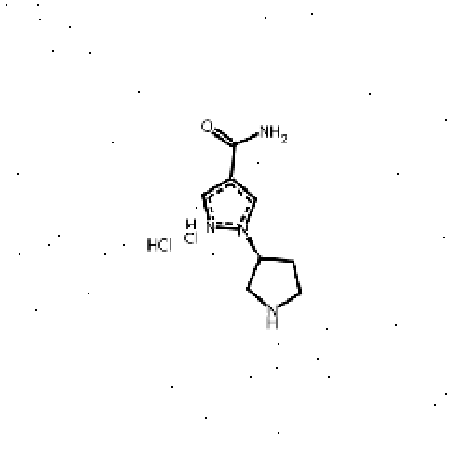 Cl.Cl.NC(=O)c1cnn([C@H]2CCNC2)c1